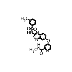 CNC(=O)c1cc(Oc2ccc3nc(NS(=O)(=O)c4cccc(C)c4)nnc3c2)ccn1